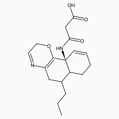 CCCC1CC2=C(OCC=N2)[C@]2(NC(=O)CC(=O)O)C=CCCC12